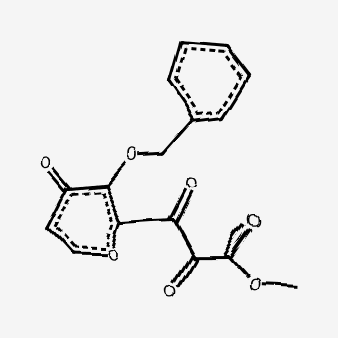 COC(=O)C(=O)C(=O)c1occc(=O)c1OCc1ccccc1